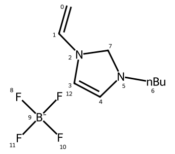 C=CN1C=CN(CCCC)C1.F[B-](F)(F)F